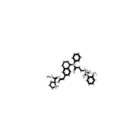 COC(=O)[C@]1(CC=Cc2ccc3c(c2)CCCC3N(C(=O)CCNS(=O)(=O)c2ccccc2C(F)(F)F)c2ccccc2)CCCN1